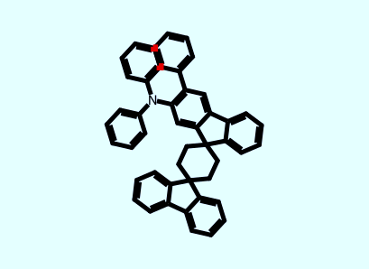 c1ccc(-c2cc3c(cc2N(c2ccccc2)c2ccccc2)C2(CCC4(CC2)c2ccccc2-c2ccccc24)c2ccccc2-3)cc1